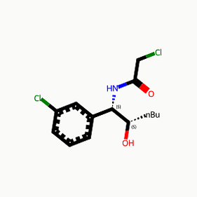 CCCC[C@H](O)[C@@H](NC(=O)CCl)c1cccc(Cl)c1